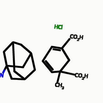 CC1(C(=O)O)C=CC=C(C(=O)O)C1.Cl.NC12CC3CC(CC(C3)C1)C2